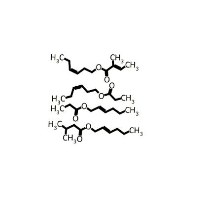 C/C=C(\C)C(=O)OCC/C=C\CC.CC/C=C\CCOC(=O)CC.CCCC=CCOC(=O)CC.CCCC=CCOC(=O)CC(C)C